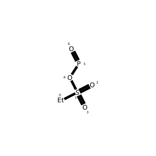 CCS(=O)(=O)OP=O